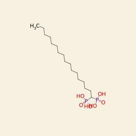 CCCCCCCCCCCCCCCCC(P(=O)(O)O)P(=O)(O)O